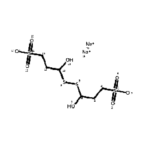 O=S(=O)([O-])CCC(O)SSC(O)CCS(=O)(=O)[O-].[Na+].[Na+]